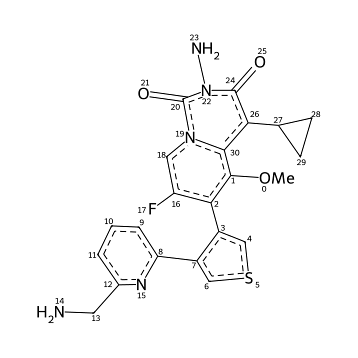 COc1c(-c2cscc2-c2cccc(CN)n2)c(F)cn2c(=O)n(N)c(=O)c(C3CC3)c12